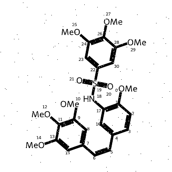 COc1ccc(/C=C\c2cc(OC)c(OC)c(OC)c2)cc1NS(=O)(=O)c1cc(OC)c(OC)c(OC)c1